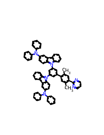 Cc1cc(-c2ncccn2)c(C)cc1-c1cc(-n2c3ccccc3c3cc(N(c4ccccc4)c4ccccc4)ccc32)cc(-n2c3ccccc3c3cc(N(c4ccccc4)c4ccccc4)ccc32)c1